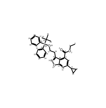 CCOC(=O)c1cc(C2CC2)nc2onc(CCO[Si](c3ccccc3)(c3ccccc3)C(C)(C)C)c12